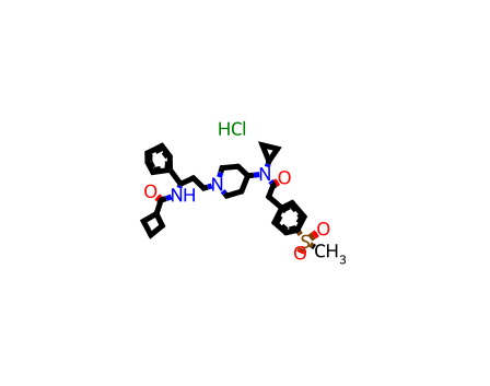 CS(=O)(=O)c1ccc(CC(=O)N(C2CC2)C2CCN(CCC(NC(=O)C3CCC3)c3ccccc3)CC2)cc1.Cl